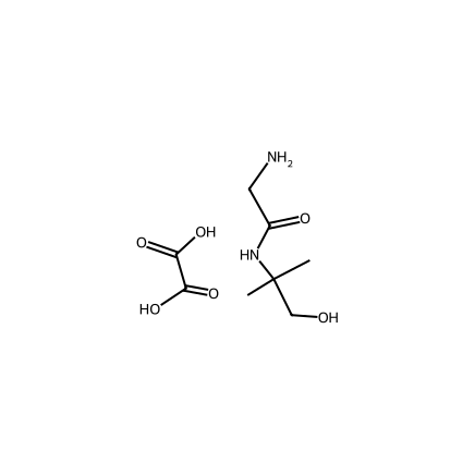 CC(C)(CO)NC(=O)CN.O=C(O)C(=O)O